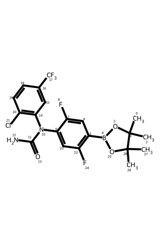 CC1(C)OB(c2cc(F)c(N(C(N)=O)c3cc(C(F)(F)F)ccc3Cl)cc2F)OC1(C)C